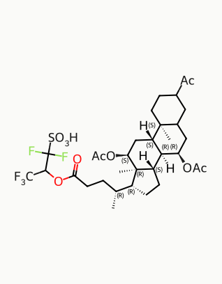 CC(=O)O[C@H]1C[C@H]2[C@@H]([C@H](OC(C)=O)CC3CC(C(C)=O)CC[C@@]32C)[C@@H]2CC[C@H]([C@H](C)CCC(=O)OC(C(F)(F)F)C(F)(F)S(=O)(=O)O)[C@@]12C